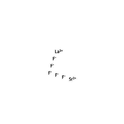 [F-].[F-].[F-].[F-].[F-].[La+3].[Sr+2]